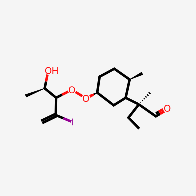 C=C(I)C(OO[C@H]1CC[C@@H](C)C([C@@](C)(C=O)CC)C1)[C@@H](C)O